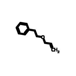 C=CCOCCc1ccccc1